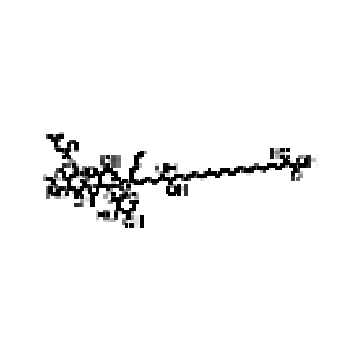 CCCCC(CCCC(O)C(O)CCCCCCCCCCCCCCC(O)C(=O)O)OC1OCC(O)C(O)C1OC1OCC(O)C(O)C1OC1OC(COC(=O)CC(C)C)C(OC(C)=O)C(O)C1O